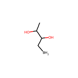 BCC(O)C(C)O